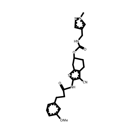 COc1cccc(CCC(=O)Nc2sc3c(c2C#N)CCC(OC(=O)NCc2cnn(C)c2)C3)c1